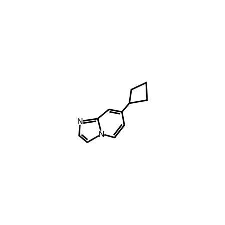 c1cn2ccc(C3CCC3)cc2n1